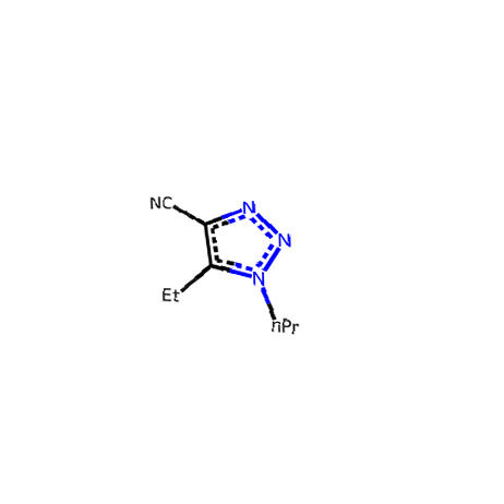 CCCn1nnc(C#N)c1CC